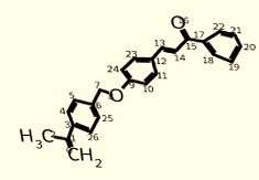 C=C(C)c1ccc(COc2ccc(C=CC(=O)c3ccccc3)cc2)cc1